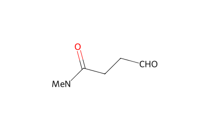 [CH2]NC(=O)CCC=O